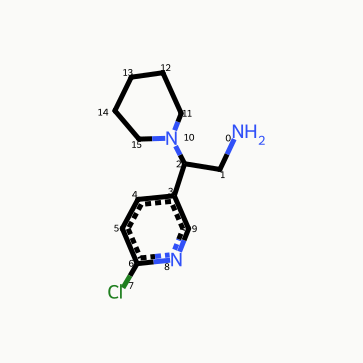 NCC(c1ccc(Cl)nc1)N1CCCCC1